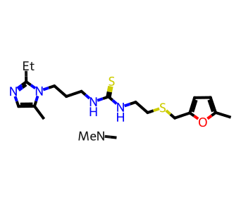 CCc1ncc(C)n1CCCNC(=S)NCCSCc1ccc(C)o1.CNC